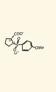 COc1ccc(S(=O)(=O)N2CCC[C@H]2C(=O)[O-])cc1.[Li+]